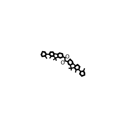 Cc1ccccc1-c1ccc2c(c1C)C(C)(C)c1cc(C(=O)C(=O)c3ccc4c(c3)C(C)(C)c3c-4ccc(-c4ccccc4C)c3C)ccc1-2